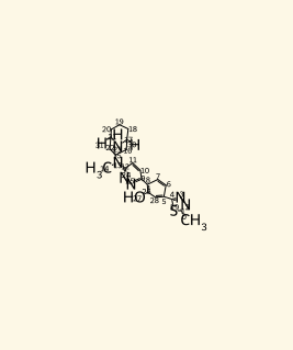 Cc1nnc(-c2ccc(-c3ccc(N(C)[C@@H]4C[C@H]5CCC[C@@H](C4)N5)nn3)c(O)c2)s1